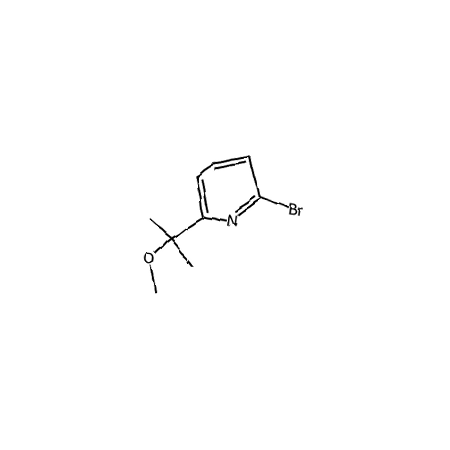 COC(C)(C)c1cccc(Br)n1